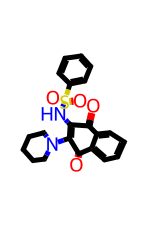 O=C1C(NS(=O)(=O)c2ccccc2)=C(N2CCCCC2)C(=O)c2ccccc21